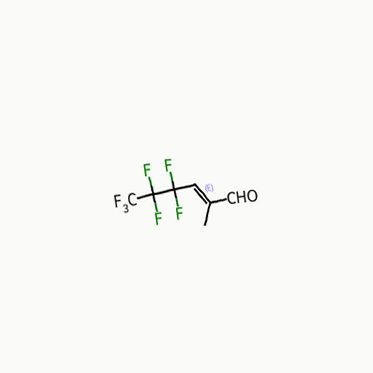 C/C(C=O)=C\C(F)(F)C(F)(F)C(F)(F)F